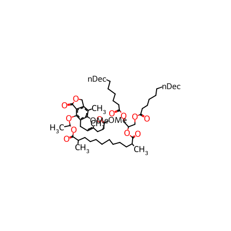 CCCCCCCCCCCCCCCC(=O)OCC(COC(=O)CCCCCCCCCCCCCCC)OC(=O)C(C)CCCCCCCCC(C)C(=O)OC(C)Oc1c(CC=C(C)CCC(=O)OC)c(OC)c(C)c2c1C(=O)OC2